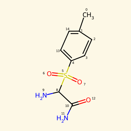 Cc1ccc(S(=O)(=O)C(N)C(N)=O)cc1